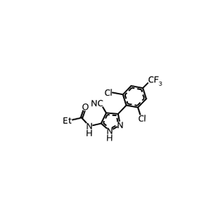 CCC(=O)Nc1[nH]nc(-c2c(Cl)cc(C(F)(F)F)cc2Cl)c1C#N